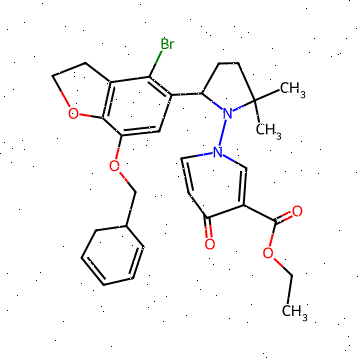 CCOC(=O)c1cn(N2C(c3cc(OCC4C=CC=CC4)c4c(c3Br)CCO4)CCC2(C)C)ccc1=O